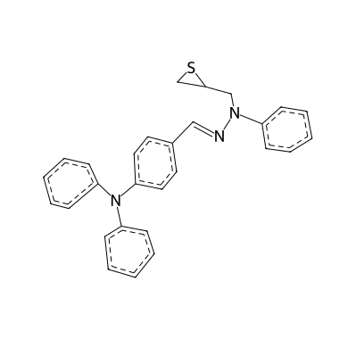 C(=NN(CC1CS1)c1ccccc1)c1ccc(N(c2ccccc2)c2ccccc2)cc1